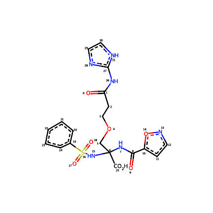 O=C(CCOCC(NC(=O)c1ccno1)(NS(=O)(=O)c1ccccc1)C(=O)O)Nc1ncc[nH]1